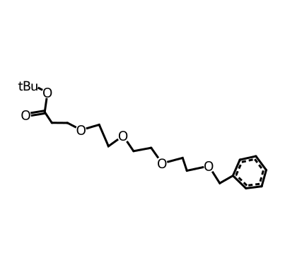 CC(C)(C)OC(=O)CCOCCOCCOCCOCc1ccccc1